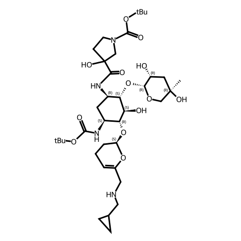 CC(C)(C)OC(=O)N[C@H]1C[C@@H](NC(=O)C2(O)CCN(C(=O)OC(C)(C)C)C2)[C@H](O[C@H]2OC[C@](C)(O)C[C@H]2O)[C@@H](O)[C@@H]1O[C@@H]1CCC=C(CNCC2CC2)O1